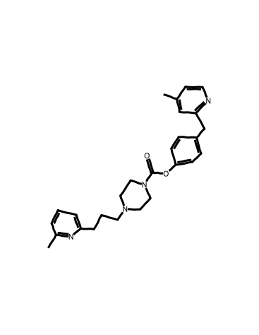 Cc1ccnc(Cc2ccc(OC(=O)N3CCN(CCCc4cccc(C)n4)CC3)cc2)c1